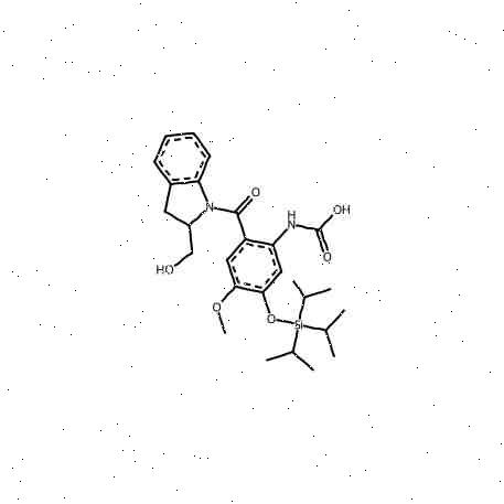 COc1cc(C(=O)N2c3ccccc3CC2CO)c(NC(=O)O)cc1O[Si](C(C)C)(C(C)C)C(C)C